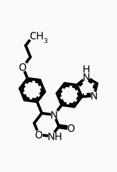 CCCOc1ccc(C2CONC(=O)N2c2ccc3[nH]cnc3c2)cc1